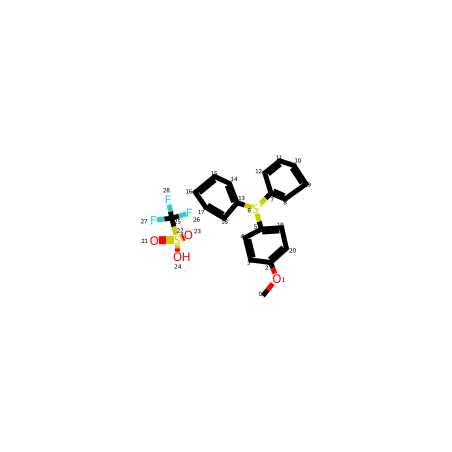 COc1ccc([S+](c2ccccc2)c2ccccc2)cc1.O=S(=O)(O)C(F)(F)F